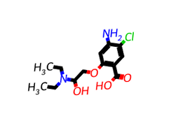 CCN(CC)C(O)COc1cc(N)c(Cl)cc1C(=O)O